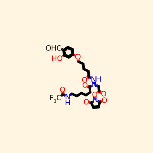 O=Cc1ccc(OCCCCC(=O)NN(CC(=O)ON2C(=O)C=CC2=O)C(=O)CCCCCNC(=O)C(F)(F)F)cc1O